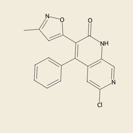 Cc1cc(-c2c(-c3ccccc3)c3cc(Cl)ncc3[nH]c2=O)on1